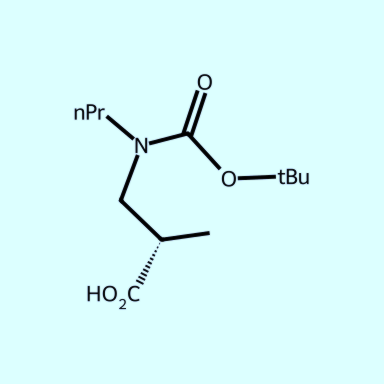 CCCN(C[C@H](C)C(=O)O)C(=O)OC(C)(C)C